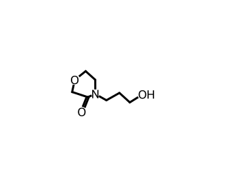 O=C1COCCN1CCCO